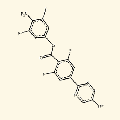 CCCc1cnc(-c2cc(F)c(C(=O)Oc3cc(F)c(C(F)(F)F)c(F)c3)c(F)c2)nc1